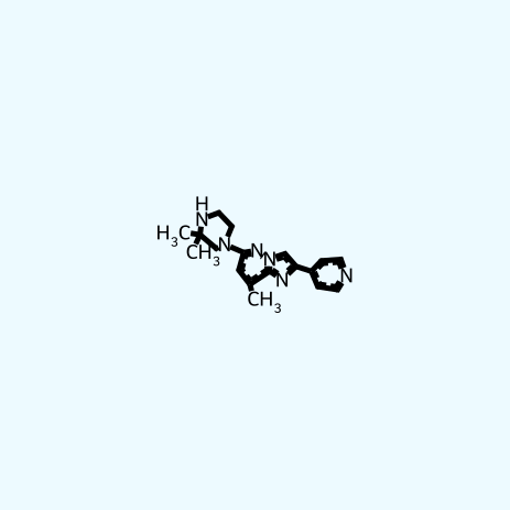 Cc1cc(N2CCNC(C)(C)C2)nn2cc(-c3ccncc3)nc12